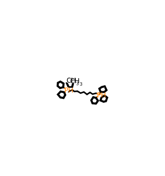 C/C=C\C(=C/C)[PH](CCCCCCCCCC[PH](c1ccccc1)(c1ccccc1)c1ccccc1)(c1ccccc1)c1ccccc1